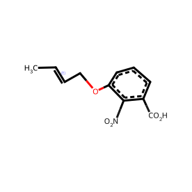 C/C=C/COc1cccc(C(=O)O)c1[N+](=O)[O-]